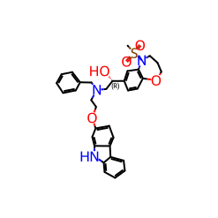 CS(=O)(=O)N1CCCOc2ccc([C@@H](O)CN(CCOc3ccc4c(c3)[nH]c3ccccc34)Cc3ccccc3)cc21